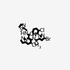 Cc1cc2ccnn2c(C(=O)NCc2nccs2)c1NC(=O)c1cc(Br)nn1-c1ncccc1Cl